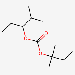 CCC(OC(=O)OC(C)(C)CC)C(C)C